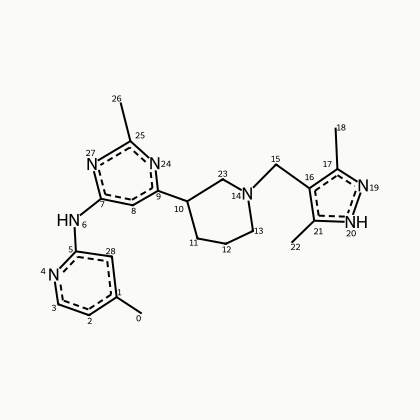 Cc1ccnc(Nc2cc(C3CCCN(Cc4c(C)n[nH]c4C)C3)nc(C)n2)c1